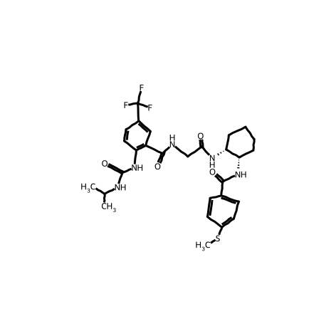 CSc1ccc(C(=O)N[C@H]2CCCC[C@H]2NC(=O)CNC(=O)c2cc(C(F)(F)F)ccc2NC(=O)NC(C)C)cc1